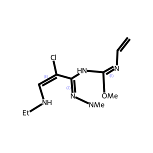 C=C/N=C(\NC(=N\NC)/C(Cl)=C\NCC)OC